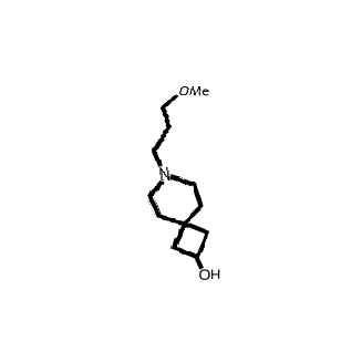 COCCCN1CCC2(CC1)CC(O)C2